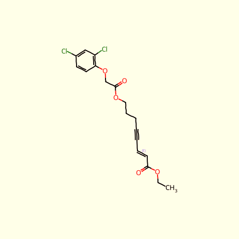 CCOC(=O)/C=C/C#CCCCOC(=O)COc1ccc(Cl)cc1Cl